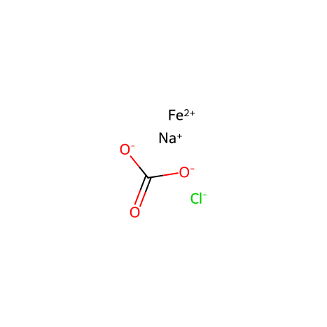 O=C([O-])[O-].[Cl-].[Fe+2].[Na+]